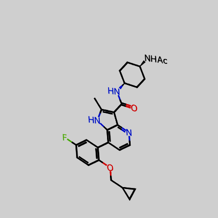 CC(=O)N[C@H]1CC[C@@H](NC(=O)c2c(C)[nH]c3c(-c4cc(F)ccc4OCC4CC4)ccnc23)CC1